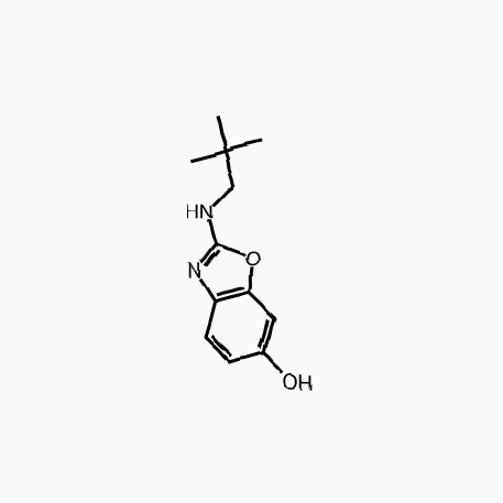 CC(C)(C)CNc1nc2ccc(O)cc2o1